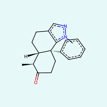 C[C@@H]1C(=O)CC[C@]2(c3ccccc3)c3c(cnn3C)CC[C@@H]12